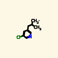 [CH2]C(C)Cc1cncc(Cl)c1